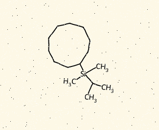 CC(C)[Si](C)(C)C1CCCCCCCCC1